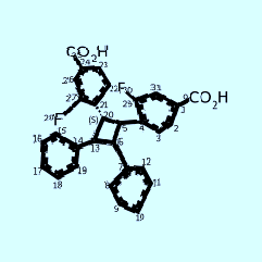 O=C(O)c1ccc(C2C(c3ccccc3)C(c3ccccc3)[C@@H]2c2ccc(C(=O)O)cc2F)c(F)c1